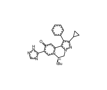 CC(C)(C)[C@@H]1Cn2nc(C3CC3)c(-c3ccccc3)c2-c2cc(=O)c(-c3ncn[nH]3)cn21